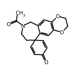 CC(=O)N1CCC2(C=CC(=O)C=C2)c2cc3c(cc2C1)OCCO3